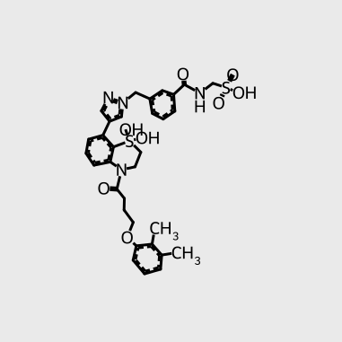 Cc1cccc(OCCCC(=O)N2CCS(O)(O)c3c(-c4cnn(Cc5cccc(C(=O)NCS(=O)(=O)O)c5)c4)cccc32)c1C